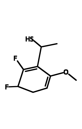 COC1=CCC(F)C(F)=C1C(C)S